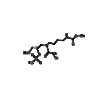 COC[C@H](CN(CCCCNC(=O)OC(C)(C)C)C(=O)NC(C)C)OS(C)(=O)=O